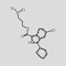 CCN(CC)CCCOC(=O)c1[nH]c(-c2ccccc2)c2cc(Cl)ccc12